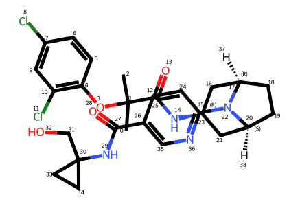 CC(C)(Oc1ccc(Cl)cc1Cl)C(=O)N[C@H]1C[C@H]2CC[C@@H](C1)N2c1ccc(C(=O)NC2(CO)CC2)cn1